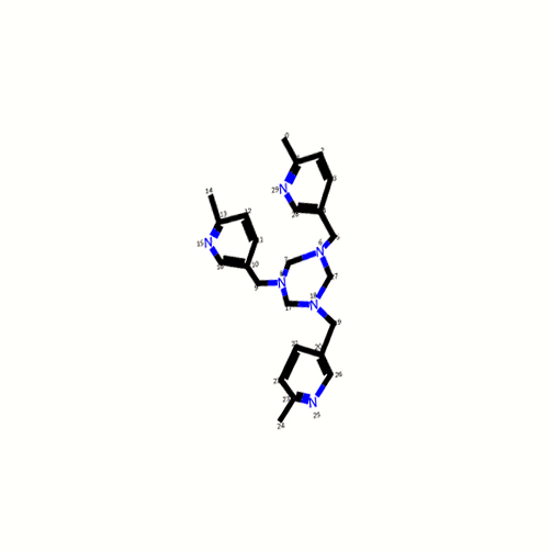 Cc1ccc(CN2CN(Cc3ccc(C)nc3)CN(Cc3ccc(C)nc3)C2)cn1